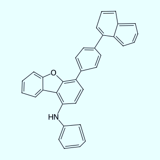 c1ccc(Nc2ccc(-c3ccc(-c4cccc5ccccc45)cc3)c3oc4ccccc4c23)cc1